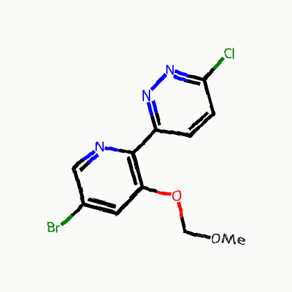 COCOc1cc(Br)cnc1-c1ccc(Cl)nn1